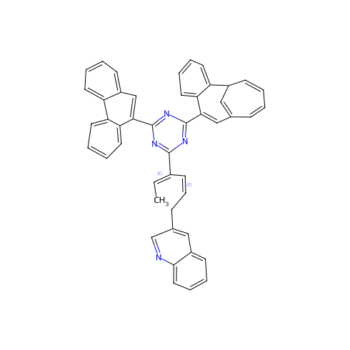 C/C=C(\C=C/Cc1cnc2ccccc2c1)c1nc(C2=CC3=CC(C=CC=C3)c3ccccc32)nc(-c2cc3ccccc3c3ccccc23)n1